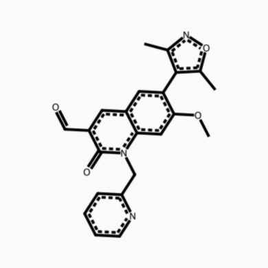 COc1cc2c(cc1-c1c(C)noc1C)cc(C=O)c(=O)n2Cc1ccccn1